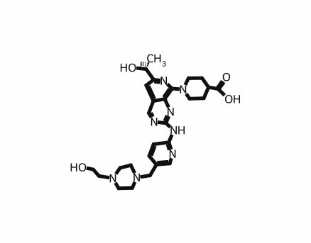 C[C@@H](O)c1cc2cnc(Nc3ccc(CN4CCN(CCO)CC4)cn3)nc2c(N2CCC(C(=O)O)CC2)n1